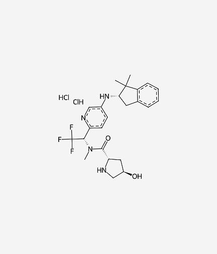 CN(C(=O)[C@@H]1C[C@@H](O)CN1)[C@@H](c1ccc(N[C@H]2Cc3ccccc3C2(C)C)cn1)C(F)(F)F.Cl.Cl